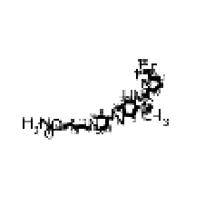 COc1cc2nn(C3CCN(CCCCCOC(N)=O)CC3)cc2cc1NC(=O)c1cccc(C(F)(F)F)n1